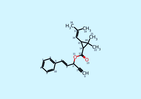 C#CC(C=Cc1ccccc1)OC(=O)C1C(C=C(C)C)C1(C)C